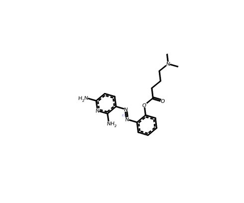 CN(C)CCCC(=O)Oc1ccccc1/N=N/c1ccc(N)nc1N